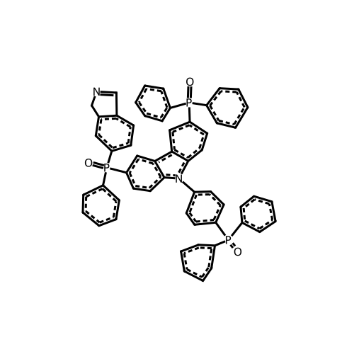 O=P(c1ccccc1)(c1ccccc1)c1ccc(-n2c3ccc(P(=O)(c4ccccc4)c4ccccc4)cc3c3cc(P(=O)(c4ccccc4)c4ccc5c(c4)CN=C5)ccc32)cc1